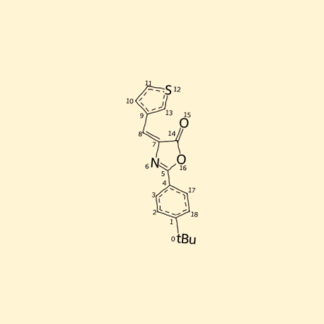 CC(C)(C)c1ccc(C2=NC(=Cc3ccsc3)C(=O)O2)cc1